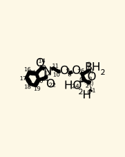 [2H]C[C@H]1O[C@@H](B)C(OCOCCN2C(=O)c3ccccc3C2=O)[C@H]1O